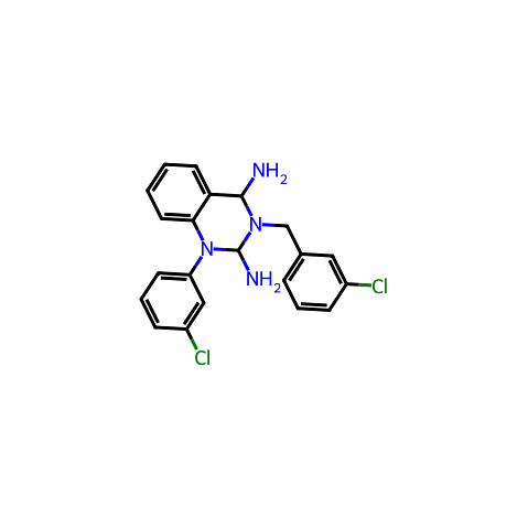 NC1c2ccccc2N(c2cccc(Cl)c2)C(N)N1Cc1cccc(Cl)c1